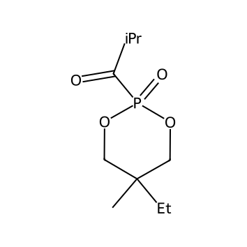 CCC1(C)COP(=O)(C(=O)C(C)C)OC1